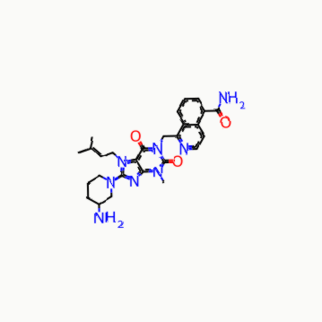 CC(C)=CCn1c(N2CCCC(N)C2)nc2c1c(=O)n(Cc1nccc3c(C(N)=O)cccc13)c(=O)n2C